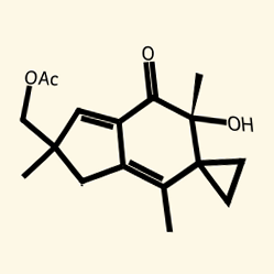 CC(=O)OCC1(C)[CH]C2=C(C)C3(CC3)[C@@](C)(O)C(=O)C2=C1